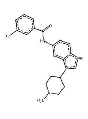 CN1CCC(c2c[nH]c3ccc(NC(=O)c4cccc(Cl)c4)nc23)CC1